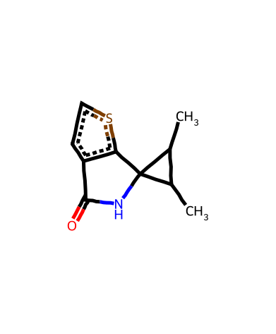 CC1C(C)C12NC(=O)c1ccsc12